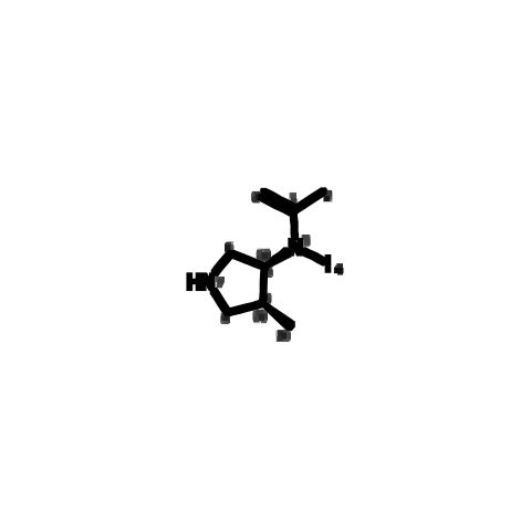 C=C(C)N(I)[C@@H]1CNC[C@@H]1C